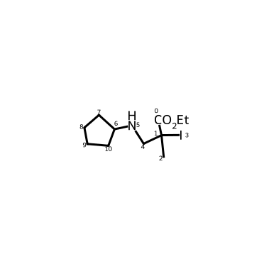 CCOC(=O)C(C)(I)CNC1CCCC1